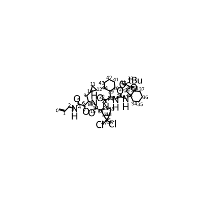 C=CCNC(=O)C(=O)C(CC1CC1)NC(=O)[C@@H]1C2C(CN1C(=O)[C@@H](NC(=O)NC1(CS(=O)(=O)C(C)(C)C)CCCCC1)C1CCCCC1)C2(Cl)Cl